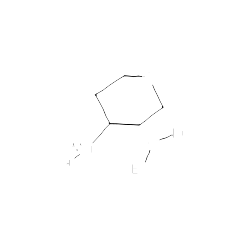 CCOCC.[Br][Mg][CH]1CCOCC1